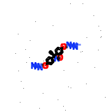 C#CC(N=O)(c1ccc(OCN=[N+]=[N-])cc1)C1C=CC(OCN=[N+]=[N-])=CC1